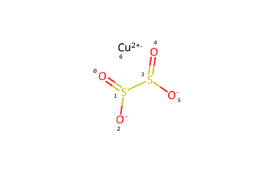 O=S([O-])S(=O)[O-].[Cu+2]